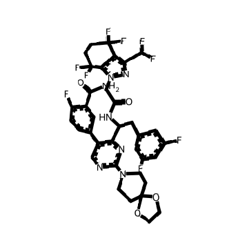 NC(=O)c1cc(-c2cnc(N3CCC4(CC3)OCCO4)nc2C(Cc2cc(F)cc(F)c2)NC(=O)Cn2nc(C(F)F)c3c2C(F)(F)CCC3(F)F)ccc1F